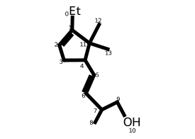 CCC1=CCC(C=CC(C)CO)C1(C)C